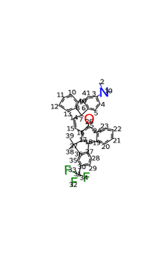 CN(C)c1ccc(C2(c3ccccc3)C=Cc3c4c(c5ccccc5c3O2)-c2ccc(C(F)(F)F)cc2C4(C)C)cc1